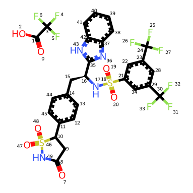 O=C(O)C(F)(F)F.O=C1CC(c2ccc(C[C@H](NS(=O)(=O)c3cc(C(F)(F)F)cc(C(F)(F)F)c3)c3nc4ccccc4[nH]3)cc2)S(=O)(=O)N1